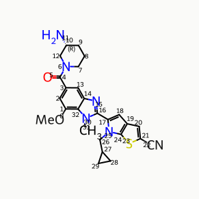 COc1cc(C(=O)N2CCC[C@@H](N)C2)cc2nc(-c3cc4cc(C#N)sc4n3CC3CC3)n(C)c12